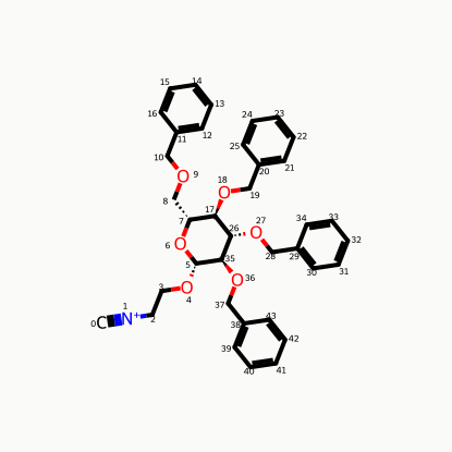 [C-]#[N+]CCO[C@@H]1O[C@H](COCc2ccccc2)[C@@H](OCc2ccccc2)[C@H](OCc2ccccc2)[C@H]1OCc1ccccc1